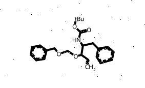 C=CC(OCOCc1ccccc1)C(Cc1ccccc1)NC(=O)OC(C)(C)C